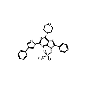 CS(=O)(=O)Cn1c(-c2ccncc2)nc2c(N3CCOCC3)nc(-n3cc(-c4ccccc4)cn3)nc21